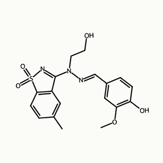 COc1cc(C=NN(CCO)C2=NS(=O)(=O)c3ccc(C)cc32)ccc1O